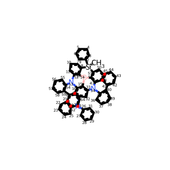 C[Si]1(c2ccccc2)c2cccc3c2B2c4c(cc(N(c5ccccc5)c5ccccc5)cc4N(c4ccccc4-c4ccccc4)c4cccc1c42)N3c1ccccc1-c1ccccc1